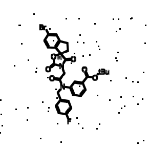 CC(C)(C)OC(=O)c1cccc(N(Cc2ccc(F)cc2)C(=O)CN2C(=O)O[C@@]3(CCc4cc(Br)ccc43)C2=O)c1